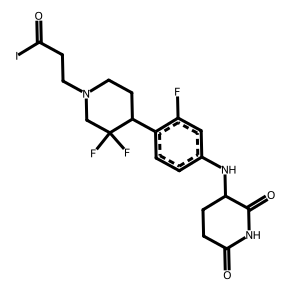 O=C(I)CCN1CCC(c2ccc(NC3CCC(=O)NC3=O)cc2F)C(F)(F)C1